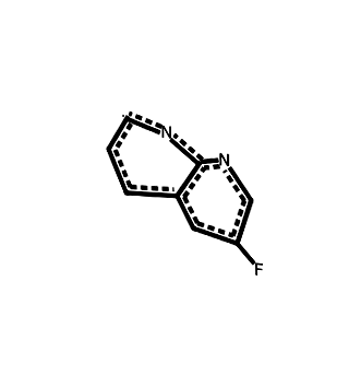 Fc1cnc2n[c]ccc2c1